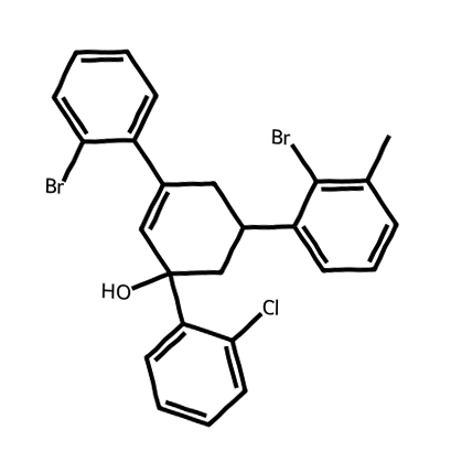 Cc1cccc(C2CC(c3ccccc3Br)=CC(O)(c3ccccc3Cl)C2)c1Br